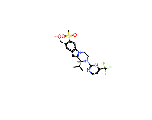 CC(C)[C@@H]1c2cc3cc(CO)c(S(C)(=O)=O)cc3n2CCN1c1nccc(C(F)(F)F)n1